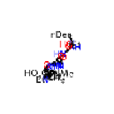 CCCCCCCCCCCCC/C=C/[C@@H](O)[C@H](CC)NC(=O)CCCCCNC(=O)OC1CCCC2=C(c3ccc(CNC(=O)c4ccc(C(=O)O)c(C5=C6C=C/C(=N\CC)C=C6[Si](C)(C)c6cc(CNC)ccc65)c4)cc3)NN=CC2CC1